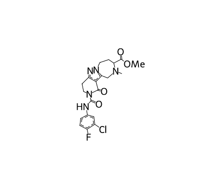 COC(=O)C1CCn2nc3c(c2CN1C)C(=O)N(C(=O)Nc1ccc(F)c(Cl)c1)CC3